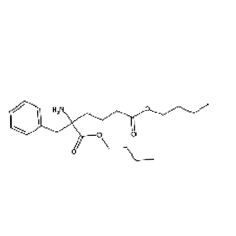 CCCCOC(=O)CCCC(N)(Cc1ccccc1)C(=O)OCCCC